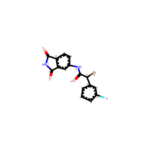 O=C1NC(=O)c2cc(NC(=O)C(Br)c3cccc(F)c3)ccc21